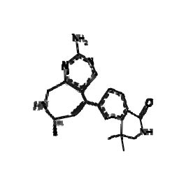 C[C@@H]1C=C(c2ccc3c(c2)C(C)(C)CNC3=O)c2cnc(N)nc2CN1